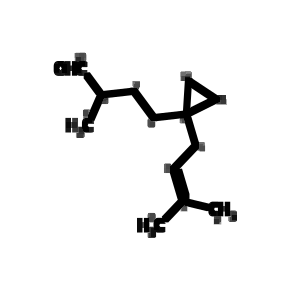 CC(C)=CCC1(CCC(C)C=O)CC1